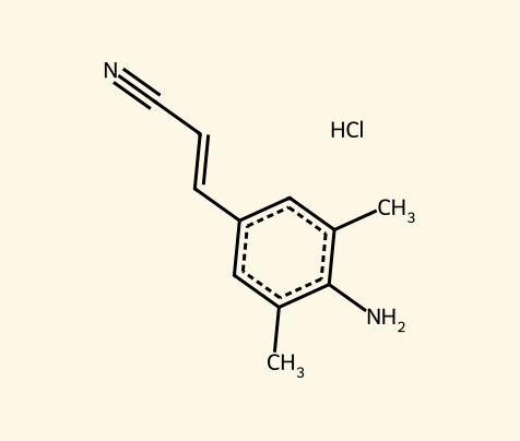 Cc1cc(C=CC#N)cc(C)c1N.Cl